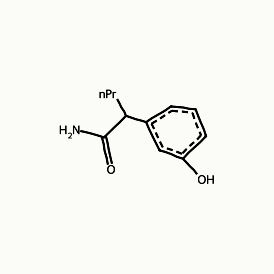 CCCC(C(N)=O)c1cccc(O)c1